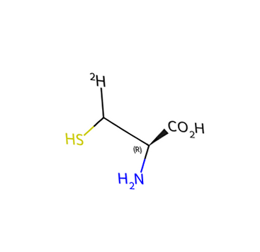 [2H]C(S)[C@H](N)C(=O)O